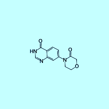 O=C1COCCN1c1ccc2c(=O)[nH]cnc2c1